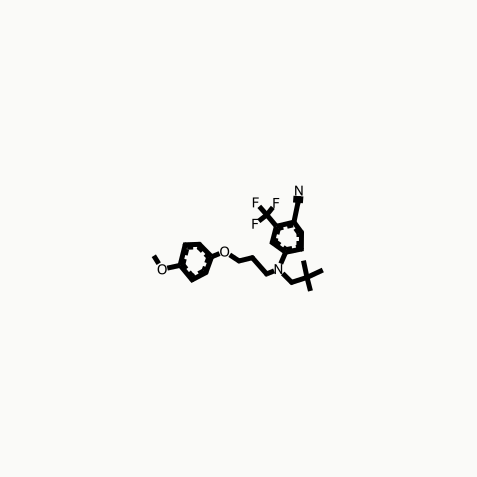 COc1ccc(OCCCN(CC(C)(C)C)c2ccc(C#N)c(C(F)(F)F)c2)cc1